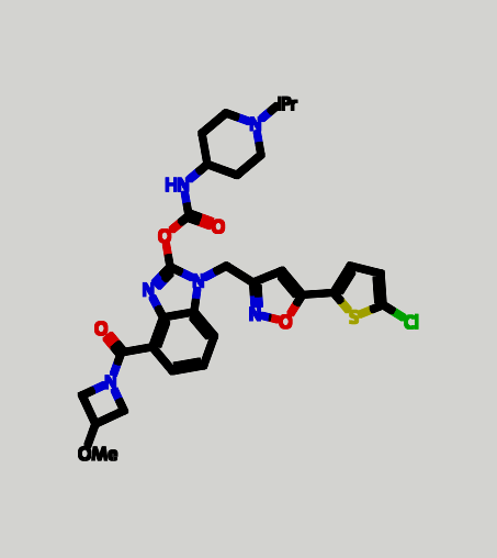 COC1CN(C(=O)c2cccc3c2nc(OC(=O)NC2CCN(C(C)C)CC2)n3Cc2cc(-c3ccc(Cl)s3)on2)C1